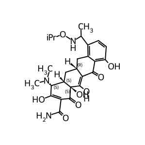 CC(C)ONC(C)c1ccc(O)c2c1C[C@H]1C[C@H]3[C@H](N(C)C)C(O)=C(C(N)=O)C(=O)[C@@]3(O)C(O)=C1C2=O